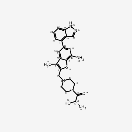 Cc1c(CN2CCN(C(=O)[C@H](C)O)CC2)sc2c(N)nc(-c3cccc4[nH]ncc34)nc12